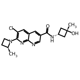 C[C@H]1CCN1c1nc2ncc(C(=O)N[C@H]3C[C@@](C)(O)C3)cc2cc1Cl